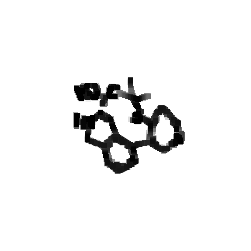 CC(C)(Sc1ccncc1-c1cccc2c1C=CNC2)C(=O)O